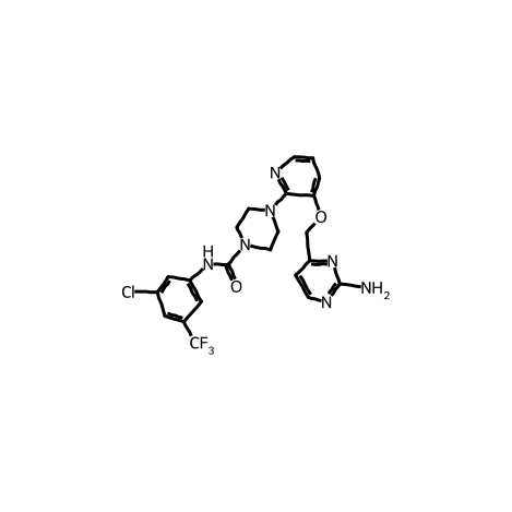 Nc1nccc(COc2cccnc2N2CCN(C(=O)Nc3cc(Cl)cc(C(F)(F)F)c3)CC2)n1